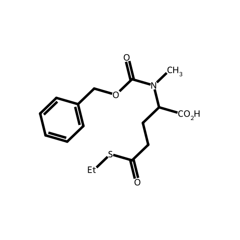 CCSC(=O)CCC(C(=O)O)N(C)C(=O)OCc1ccccc1